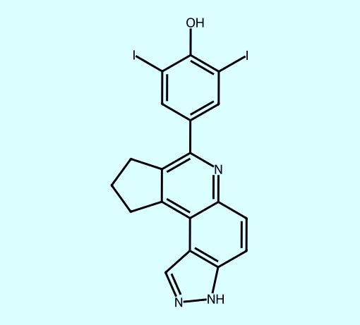 Oc1c(I)cc(-c2nc3ccc4[nH]ncc4c3c3c2CCC3)cc1I